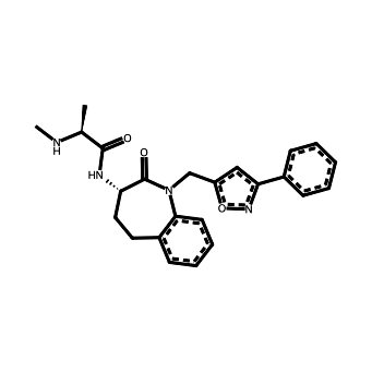 CN[C@@H](C)C(=O)N[C@H]1CCc2ccccc2N(Cc2cc(-c3ccccc3)no2)C1=O